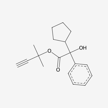 C#CC(C)(C)OC(=O)C(O)(c1ccccc1)C1CCCC1